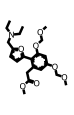 CCN(CC)Cc1ccc(-c2c(CC(=O)OC)cc(OCOC)cc2OCOC)o1